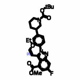 CCO/C=C\c1c2c(C(=O)OC)cc(F)cc2nn1-c1ccc(C2CCCN(C(=O)OC(C)(C)C)C2)cc1